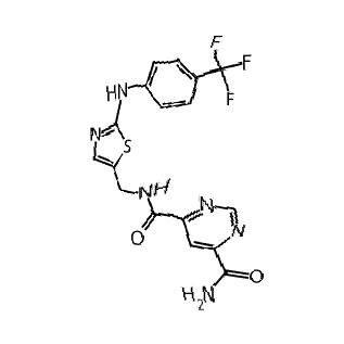 NC(=O)c1cc(C(=O)NCc2cnc(Nc3ccc(C(F)(F)F)cc3)s2)ncn1